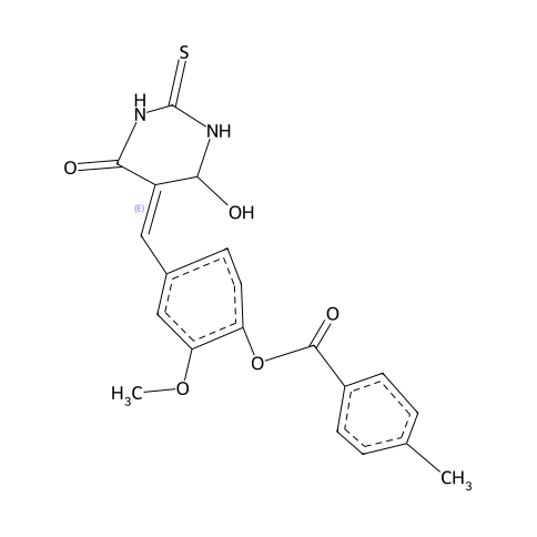 COc1cc(/C=C2/C(=O)NC(=S)NC2O)ccc1OC(=O)c1ccc(C)cc1